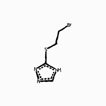 BrCCSc1nnc[nH]1